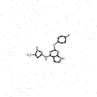 Cc1cc(Nc2nc(Sc3ccc(F)cc3)nc3[nH]ccc23)n[nH]1